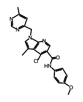 COc1ccc(NC(=O)c2cnc3c(c(C)cn3Cc3cc(C)ncn3)c2Cl)cc1